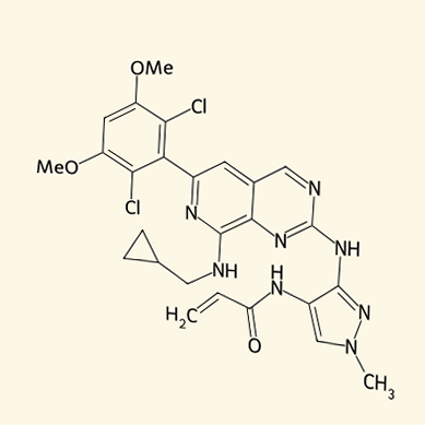 C=CC(=O)Nc1cn(C)nc1Nc1ncc2cc(-c3c(Cl)c(OC)cc(OC)c3Cl)nc(NCC3CC3)c2n1